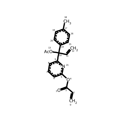 C=CC(=O)Oc1cccc(C(C=C)(OC(C)=O)c2ccc(C)cc2)n1